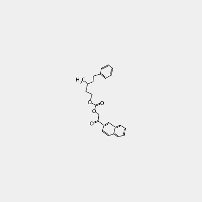 CC(CCOC(=O)OCC(=O)c1ccc2ccccc2c1)CCc1ccccc1